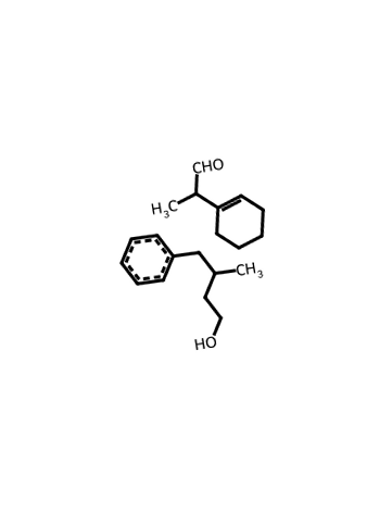 CC(C=O)C1=CCCCC1.CC(CCO)Cc1ccccc1